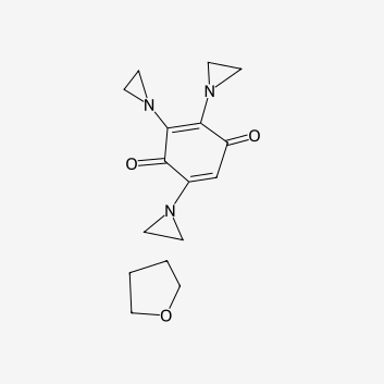 C1CCOC1.O=C1C=C(N2CC2)C(=O)C(N2CC2)=C1N1CC1